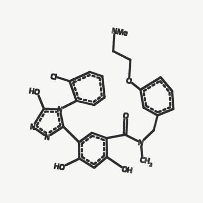 CNCCOc1cccc(CN(C)C(=O)c2cc(-c3nnc(O)n3-c3ccccc3Cl)c(O)cc2O)c1